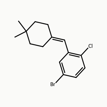 CC1(C)CCC(=Cc2cc(Br)ccc2Cl)CC1